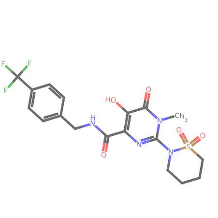 Cn1c(N2CCCCS2(=O)=O)nc(C(=O)NCc2ccc(C(F)(F)F)cc2)c(O)c1=O